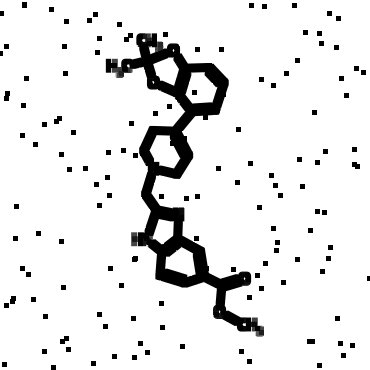 COC(=O)c1ccc2[nH]c(CN3CC=C(c4cccc5c4OC(C)(C)O5)CC3)nc2c1